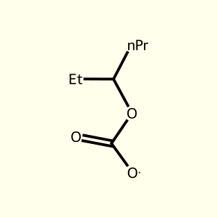 CCCC(CC)OC([O])=O